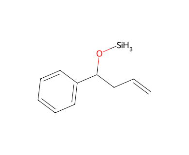 C=CCC(O[SiH3])c1ccccc1